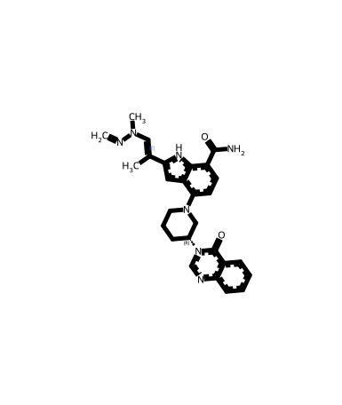 C=NN(C)/C=C(\C)c1cc2c(N3CCC[C@@H](n4cnc5ccccc5c4=O)C3)ccc(C(N)=O)c2[nH]1